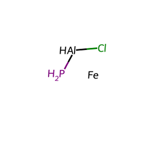 [Fe].[PH2][AlH][Cl]